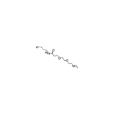 CC(C)CCCNC(=O)CCOCCOCCN